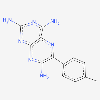 Cc1ccc(-c2nc3c(N)nc(N)nc3nc2N)cc1